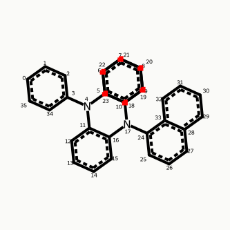 c1ccc(N(c2ccccc2)c2ccccc2N(c2ccccc2)c2cccc3ccccc23)cc1